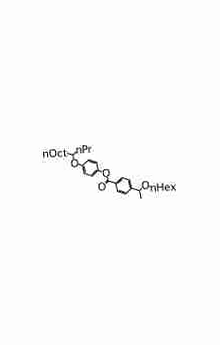 CCCCCCCCC(CCC)Oc1ccc(OC(=O)c2ccc(C(C)OCCCCCC)cc2)cc1